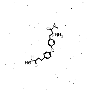 CN(C)C(=O)[C@H](N)Cc1ccc(Oc2ccc(CCC(=O)NO)cc2)cc1